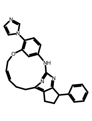 C1=CCOc2cc(ccc2-n2ccnc2)Nc2nc(c3c(n2)C(c2ccccc2)CC3)CC1